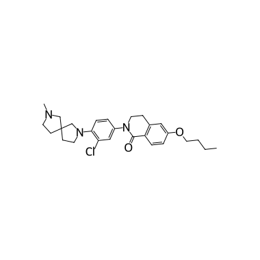 CCCCOc1ccc2c(c1)CCN(c1ccc(N3CCC4(CCN(C)C4)C3)c(Cl)c1)C2=O